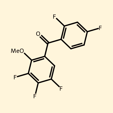 COc1c(C(=O)c2ccc(F)cc2F)cc(F)c(F)c1F